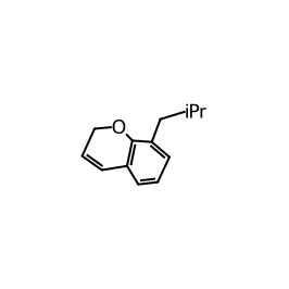 [CH2]C(C)Cc1cccc2c1OCC=C2